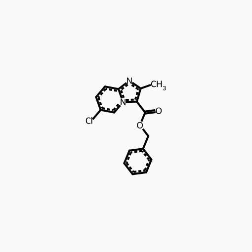 Cc1nc2ccc(Cl)cn2c1C(=O)OCc1ccccc1